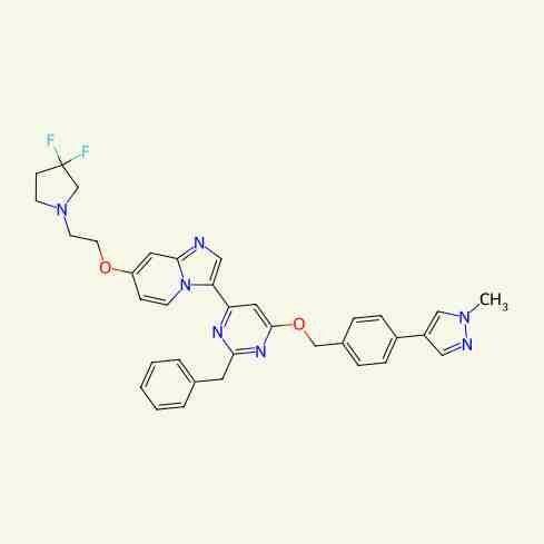 Cn1cc(-c2ccc(COc3cc(-c4cnc5cc(OCCN6CCC(F)(F)C6)ccn45)nc(Cc4ccccc4)n3)cc2)cn1